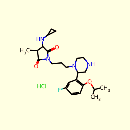 CC(C)Oc1ccc(F)cc1C1CNCCN1CCCN1C(=O)C(C)C(NC2CC2)C1=O.Cl